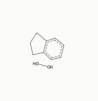 OO.c1ccc2c(c1)CCC2